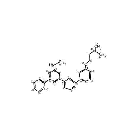 CNc1cc(-c2cncc(-c3cccc(OCCN(C)C)c3)c2)nc(-c2ccccn2)n1